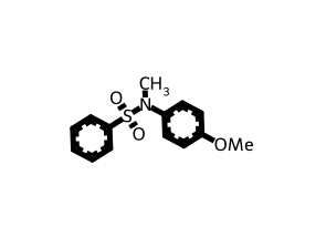 COc1ccc(N(C)S(=O)(=O)c2ccccc2)cc1